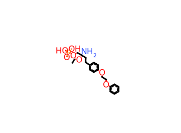 CCOC(N)(CCc1ccc(OCCOc2ccccc2)cc1)COP(=O)(O)O